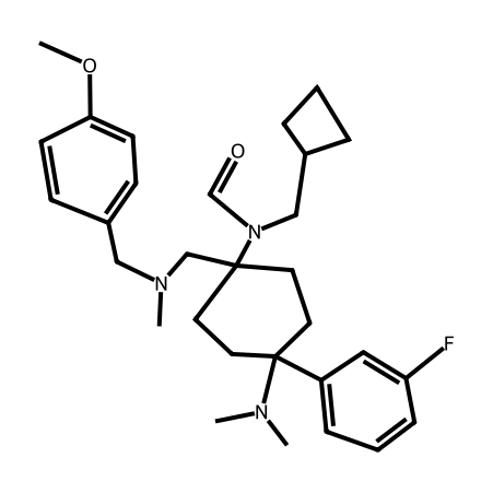 COc1ccc(CN(C)CC2(N(C=O)CC3CCC3)CCC(c3cccc(F)c3)(N(C)C)CC2)cc1